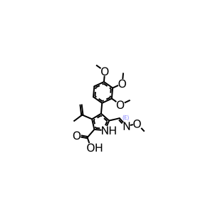 C=C(C)c1c(C(=O)O)[nH]c(/C=N/OC)c1-c1ccc(OC)c(OC)c1OC